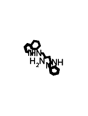 NC(CNC1CCCc2cccnc21)Cc1nc2ccccc2[nH]1